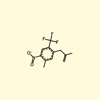 C=C(C)Cc1cc(C)c([N+](=O)[O-])cc1C(F)(F)F